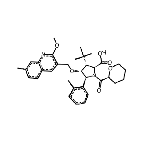 COc1nc2cc(C)ccc2cc1CO[C@H]1[C@H](C(C)(C)C)[C@@H](C(=O)O)N(C(=O)[C@@H]2CCCCO2)[C@H]1c1ccccc1C